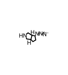 [N-]=[N+]=N[C@H]1CC[C@@H]2CNC[C@@H]21